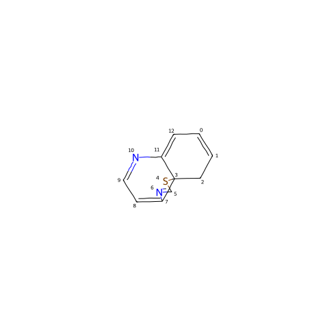 C1=CCC23SC=NC2=CC=NC3=C1